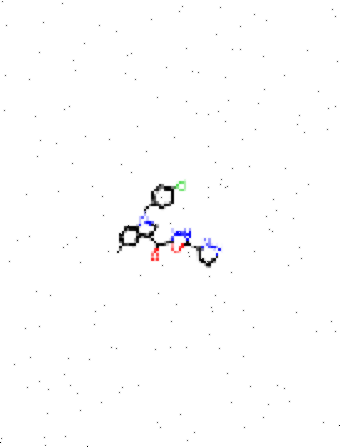 Cc1ccc2c(c1)c(C(=O)c1nnc(-c3cccnn3)o1)cn2Cc1ccc(Cl)cc1